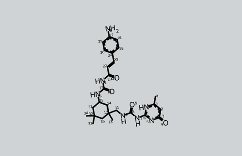 Cc1cc(=O)nc(NC(=O)NCC2(C)CC(NC(=O)NC(=O)/C=C/c3ccc(N)cc3)CC(C)(C)C2)[nH]1